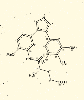 COc1ccc(-c2cnsc2-c2cc(C)c(C)c(OC)c2)cc1NC(=O)[C@@H](N)CCC(=O)O